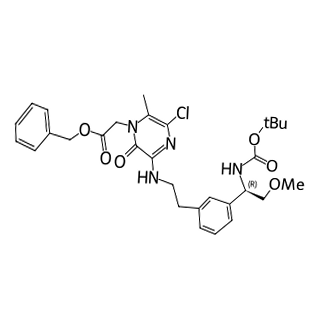 COC[C@H](NC(=O)OC(C)(C)C)c1cccc(CCNc2nc(Cl)c(C)n(CC(=O)OCc3ccccc3)c2=O)c1